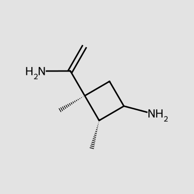 C=C(N)[C@@]1(C)CC(N)[C@@H]1C